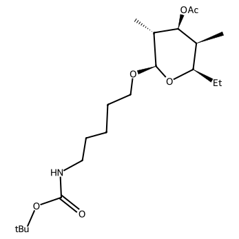 CC[C@H]1O[C@@H](OCCCCCNC(=O)OC(C)(C)C)[C@H](C)[C@@H](OC(C)=O)[C@H]1C